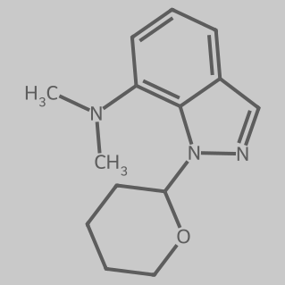 CN(C)c1cccc2cnn(C3CCCCO3)c12